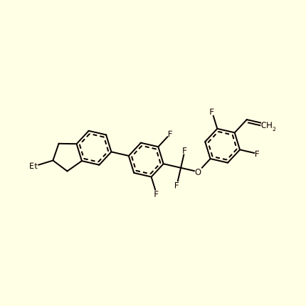 C=Cc1c(F)cc(OC(F)(F)c2c(F)cc(-c3ccc4c(c3)CC(CC)C4)cc2F)cc1F